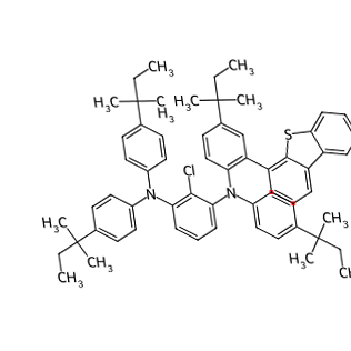 CCC(C)(C)c1ccc(N(c2ccc(C(C)(C)CC)cc2)c2cccc(N(c3ccc(C(C)(C)CC)cc3)c3ccc(C(C)(C)CC)cc3-c3cccc4c3sc3ccccc34)c2Cl)cc1